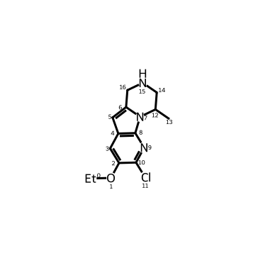 CCOc1cc2cc3n(c2nc1Cl)C(C)CNC3